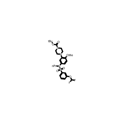 CCCN(c1ccc(OC)c(N2CCN(C(=O)OC(C)(C)C)CC2)c1)S(=O)(=O)c1cccc(OC(F)F)c1